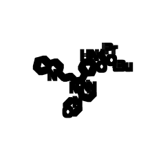 CC(C)[C@H](Nc1ccc(-c2c(/C=C/c3ccc4ccccc4n3)nc3c(N4CCOCC4)ccnn23)cc1)C(=O)OC(C)(C)C